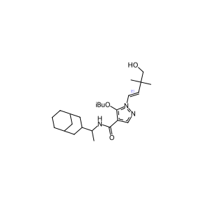 CC(C)COc1c(C(=O)NC(C)C2CC3CCCC(C3)C2)cnn1/C=C/C(C)(C)CO